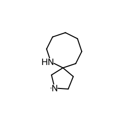 C1CCCC2(CC[N]C2)NCC1